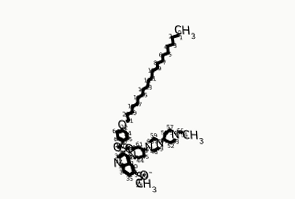 CCCCCCCCCCCCCCCCCCCCCCOc1ccc(S(=O)(=O)c2cnc3ccc([S@+](C)[O-])cc3c2N2CCC(N3CCN(C4CCN(CC)CC4)CC3)CC2)cc1